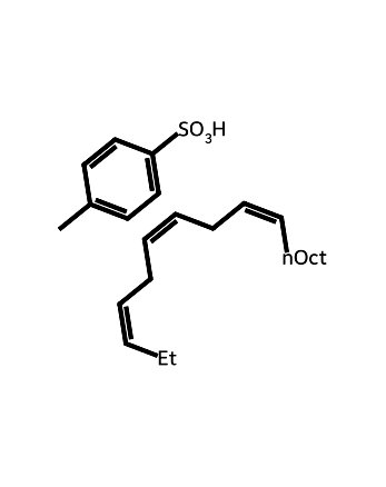 CC/C=C\C/C=C\C/C=C\CCCCCCCC.Cc1ccc(S(=O)(=O)O)cc1